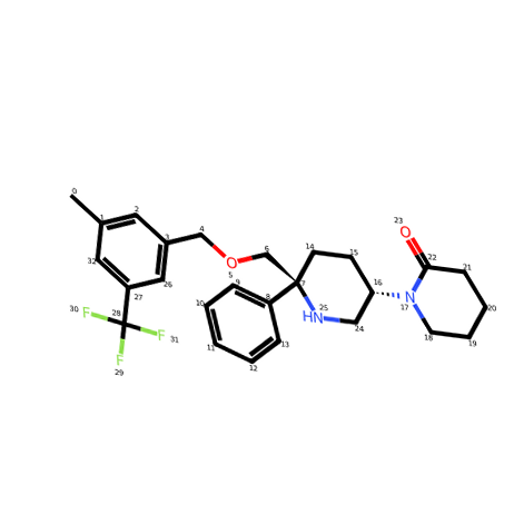 Cc1cc(COC[C@@]2(c3ccccc3)CC[C@H](N3CCCCC3=O)CN2)cc(C(F)(F)F)c1